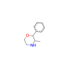 CC1NCCOC1c1ccccc1